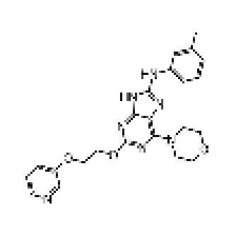 Cc1cccc(Nc2nc3c(N4CCOCC4)nc(OCCOc4cccnc4)nc3[nH]2)c1